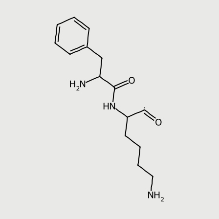 NCCCCC([C]=O)NC(=O)C(N)Cc1ccccc1